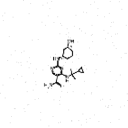 CC(C)(Nc1nc(N[C@@H]2CCC[C@H](O)C2)ncc1C(N)=O)C1CC1